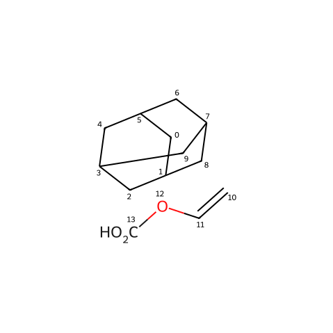 C1C2CC3CC1CC(C2)C3.C=COC(=O)O